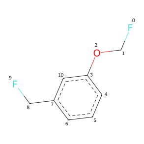 FCOc1cccc(CF)c1